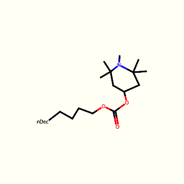 CCCCCCCCCCCCCCOC(=O)OC1CC(C)(C)N(C)C(C)(C)C1